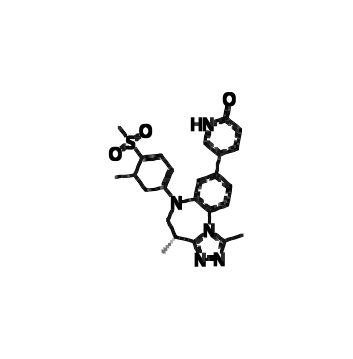 Cc1nnc2n1-c1ccc(-c3ccc(=O)[nH]c3)cc1N(C1=CC=C(S(C)(=O)=O)C(C)C1)C[C@H]2C